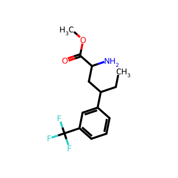 CCC(CC(N)C(=O)OC)c1cccc(C(F)(F)F)c1